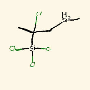 C[SiH2]CC(C)(Cl)[Si](Cl)(Cl)Cl